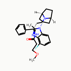 COCCC(=O)N[C@@H](CCN1[C@@H]2CC[C@H]1C[C@H](n1c(C)nc3c(F)cccc31)C2)c1ccccc1